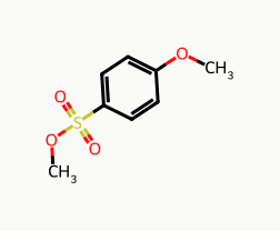 COc1ccc(S(=O)(=O)OC)cc1